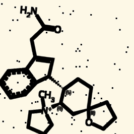 C[N+]1([C@@H]2C[C@]3(CCCO3)CC[C@H]2C2C=C(CC(N)=O)c3ccccc32)CCCC1